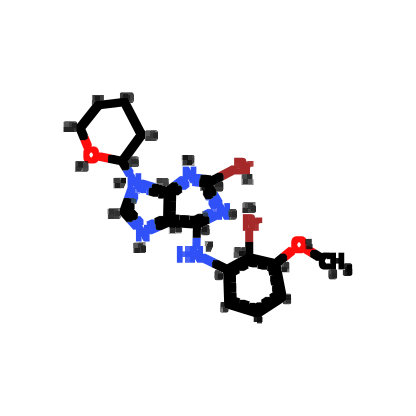 COc1cccc(Nc2nc(Br)nc3c2ncn3C2CCCCO2)c1Br